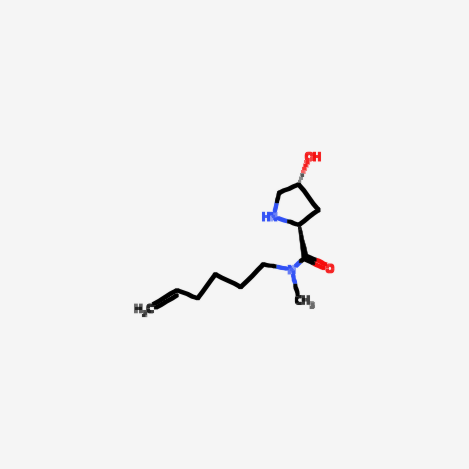 C=CCCCCN(C)C(=O)[C@@H]1C[C@@H](O)CN1